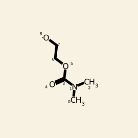 CN(C)C(=O)OCC[O]